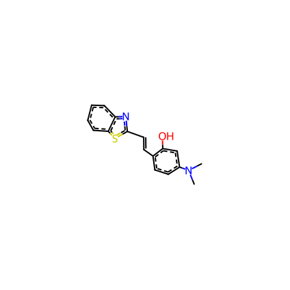 CN(C)c1ccc(C=Cc2nc3ccccc3s2)c(O)c1